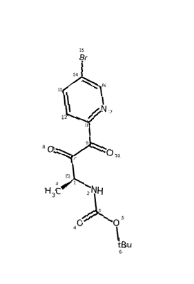 C[C@H](NC(=O)OC(C)(C)C)C(=O)C(=O)c1ccc(Br)cn1